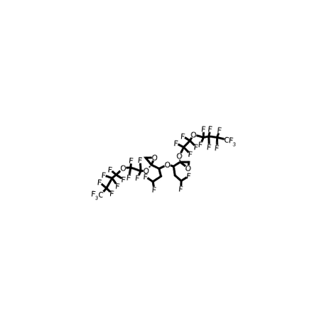 FC(F)CC(OC(CC(F)F)[C@@]1(OC(F)(F)C(F)(F)OC(F)(F)C(F)(F)C(F)(F)C(F)(F)F)CO1)[C@@]1(OC(F)(F)C(F)(F)OC(F)(F)C(F)(F)C(F)(F)C(F)(F)F)CO1